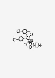 Cc1cc(Cl)ccc1C1c2c(nn(C(=O)N3CCN(C)CC3)c2C(C)C)C(=O)N1c1cc(Cl)ccc1C